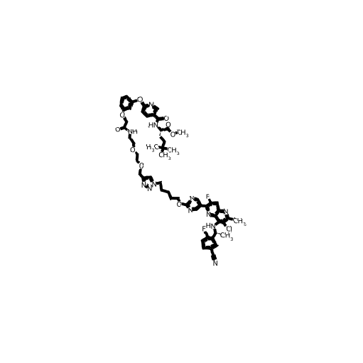 COC(=O)[C@H](CCC(C)(C)C)NC(=O)c1ccc(Oc2cccc(OCC(=O)NCCOCCOCc3cn(CCCCCOc4ncc(-c5nc6c(N[C@H](C)c7cc(C#N)ccc7F)c(Cl)c(C)nc6cc5F)cn4)nn3)c2)nc1